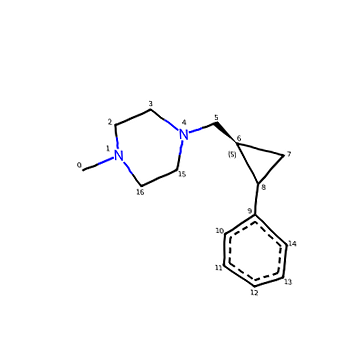 CN1CCN(C[C@H]2CC2c2ccccc2)CC1